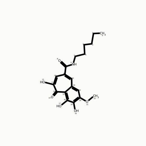 CCCCCCNC(=O)c1cc(O)c(=O)c2c(O)c(O)c(OC)cc2c1